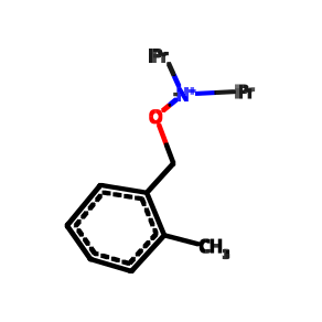 Cc1ccccc1CO[N+](C(C)C)C(C)C